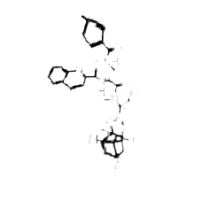 Cc1ccc(C(=O)NC[C@H](NC(=O)c2ccc3ccccc3n2)C(=O)N[C@@H](CC(C)C)B2O[C@@H]3C[C@@H]4C[C@@H](C4(C)C)[C@]3(C)O2)cc1